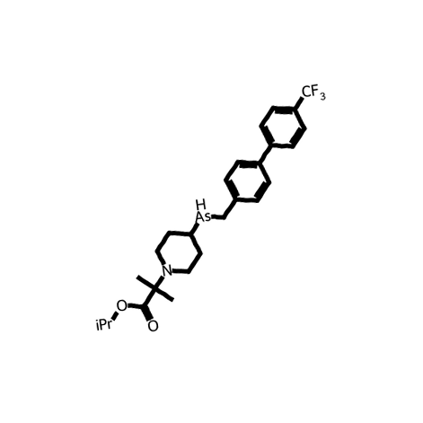 CC(C)OC(=O)C(C)(C)N1CCC([AsH]Cc2ccc(-c3ccc(C(F)(F)F)cc3)cc2)CC1